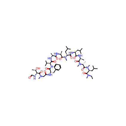 CCN(C)C(=O)[C@H](CC(C)C)N(C)C(=O)[C@@H](C)N(C)C(=O)[C@H](C)NC(=O)[C@H](CC(C)C)NC(=O)[C@H](CC(C)C)N(C)C(=O)[C@H](C)NC(=O)[C@H](C)NC(=O)[C@H](C(C)C)N(C)C(=O)[C@H](Cc1ccccc1)NC(=O)CN(C)C(=O)[C@@H](NC=O)[C@@H](C)O